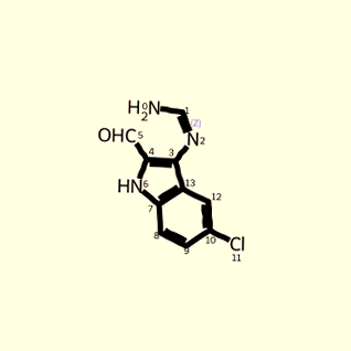 N/C=N\c1c(C=O)[nH]c2ccc(Cl)cc12